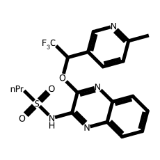 CCCS(=O)(=O)Nc1nc2ccccc2nc1OC(c1ccc(C)nc1)C(F)(F)F